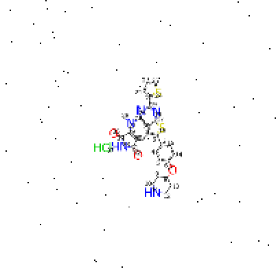 Cc1c(-c2ccc(OC3CCNCC3)cc2)sc2nc(-c3cccs3)nc(N(C)C3=CC(=O)NC3=O)c12.Cl